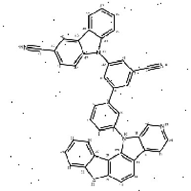 N#Cc1cc(-c2cccc(-n3c4cnccc4c4ccc5sc6ccccc6c5c43)c2)cc(-n2c3ccccc3c3cc(C#N)ccc32)c1